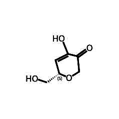 O=C1CO[C@H](CO)C=C1O